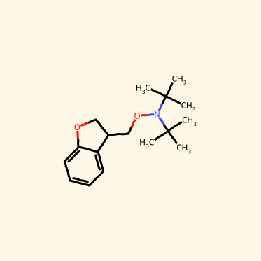 CC(C)(C)N(OCC1COc2ccccc21)C(C)(C)C